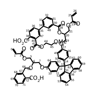 C=CC(=O)OCC(COc1ccc(C2(c3ccc(OCC(COC(=O)C=C)OC(=O)c4cccc(-c5ccc(C(=O)O)c(C(=O)OCCOC)c5)c4)cc3)c3ccccc3-c3ccccc32)cc1)OCc1ccccc1C(=O)O